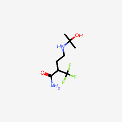 CC(C)(O)NCCC(C(N)=O)C(F)(F)F